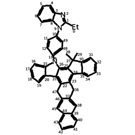 CCc1nc2ccccc2n1-c1ccc(-n2c3ccccc3c3c4c(c5c(c32)C(C)(C)c2ccccc2-5)Cc2cc3ccccc3cc2C4)cc1